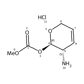 COC(=O)O[C@H]1OCC=C[C@@H]1N.Cl